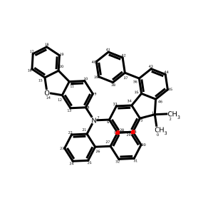 CC1(C)c2ccc(N(c3ccc4c(c3)oc3ccccc34)c3ccccc3-c3ccccc3)cc2-c2c(-c3ccccc3)cccc21